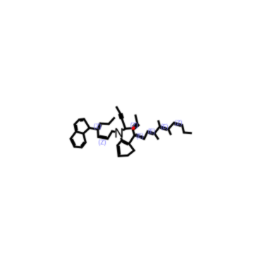 CC#CC(/C=C\C)N(C/C=C\C(=C/CC)C1C=CC=C2C=CC=CC21)C1=C(/C(=C/C=C(C)/C(C)=C(C)/C=C\CC)CC)CCC=C1